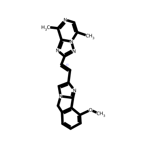 COc1cccc2c1-c1nc(/C=C/c3nc4c(C)ncc(C)n4n3)cn1C2